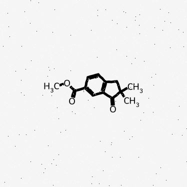 COC(=O)c1ccc2c(c1)C(=O)C(C)(C)C2